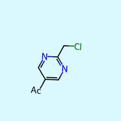 CC(=O)c1cnc(CCl)nc1